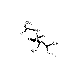 CC(C)NS(=O)(=O)C(C)C(C)C